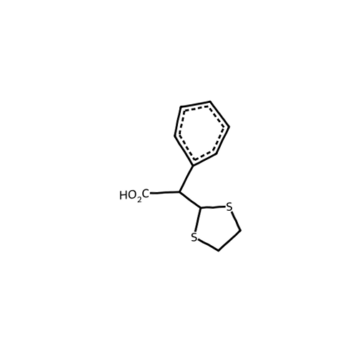 O=C(O)C(c1ccccc1)C1SCCS1